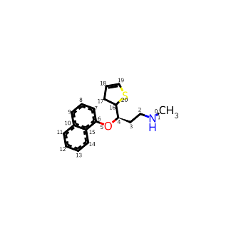 CNCC[C@@H](Oc1cccc2ccccc12)C1CC=CS1